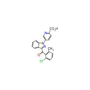 Cc1cccc(Cl)c1C(=O)c1nn(-c2ccc(C(=O)O)nc2)c2ccccc12